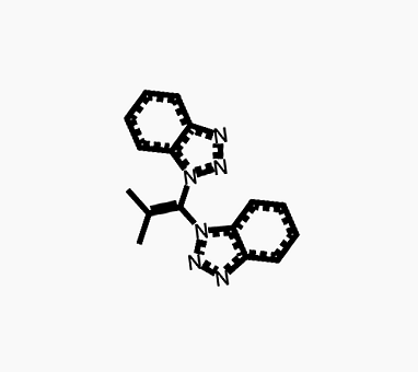 CC(C)=C(n1nnc2ccccc21)n1nnc2ccccc21